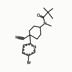 CN(C(=O)C(C)(C)C)C1CCC(C#N)(c2ccc(Br)cn2)CC1